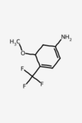 COC1CC(N)=CC=C1C(F)(F)F